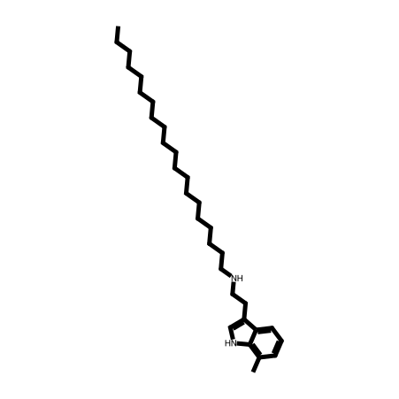 CCCCCCCCCCCCCCCCCCCCNCCc1c[nH]c2c(C)cccc12